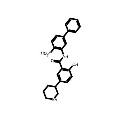 O=C(Nc1cc(-c2ccccc2)ccc1C(=O)O)c1cc(C2CCCNC2)ccc1O